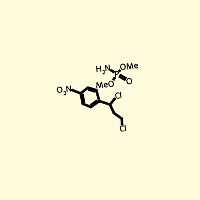 COP(N)(=O)OC.O=[N+]([O-])c1ccc(C(Cl)CCCl)cc1